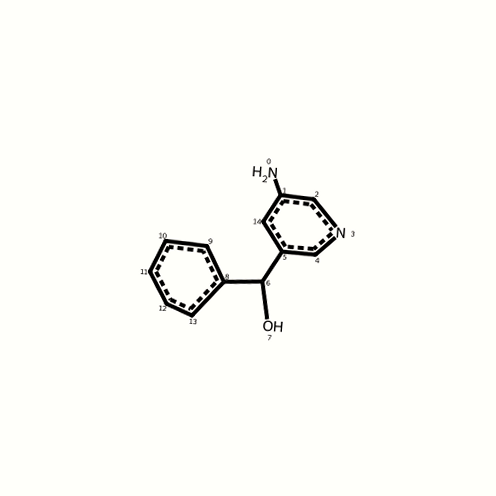 Nc1cncc(C(O)c2ccccc2)c1